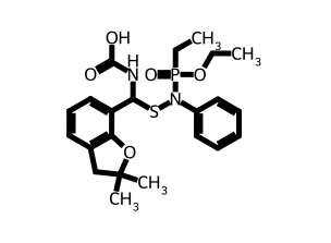 CCOP(=O)(CC)N(SC(NC(=O)O)c1cccc2c1OC(C)(C)C2)c1ccccc1